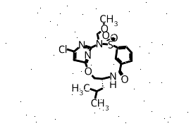 COCN1c2nc(Cl)cc(n2)OC[C@@H](CC(C)C)NC(=O)c2cccc(c2)S1(=O)=O